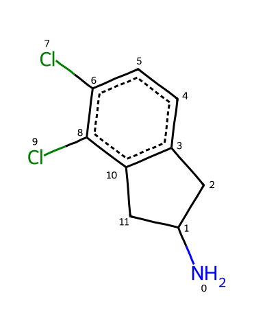 NC1Cc2ccc(Cl)c(Cl)c2C1